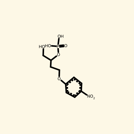 O=[N+]([O-])c1ccc(OCCC(CO)OP(=O)(O)O)cc1